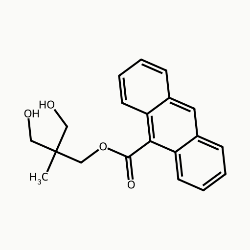 CC(CO)(CO)COC(=O)c1c2ccccc2cc2ccccc12